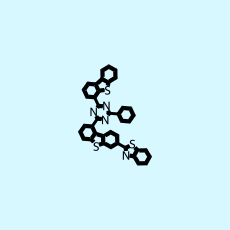 c1ccc(-c2nc(-c3cccc4c3sc3ccccc34)nc(-c3cccc4sc5cc(-c6nc7ccccc7s6)ccc5c34)n2)cc1